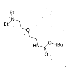 CCN(CC)CCOCCNC(=O)OC(C)(C)C